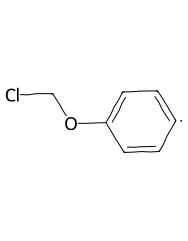 ClCOc1cc[c]cc1